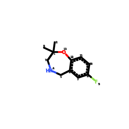 CC1(C)CNCc2cc(F)ccc2O1